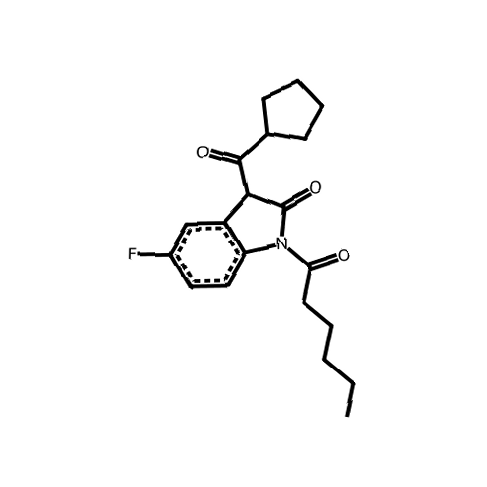 CCCCCC(=O)N1C(=O)C(C(=O)C2CCCC2)c2cc(F)ccc21